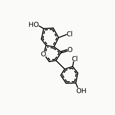 O=c1c(-c2ccc(O)cc2Cl)coc2cc(O)cc(Cl)c12